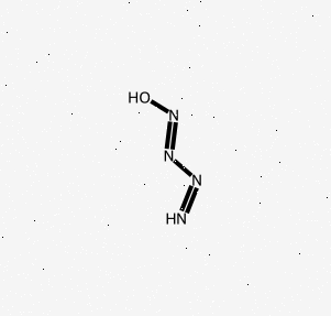 N=N/N=N/O